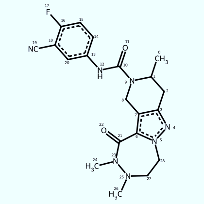 CC1Cc2nn3c(c2CN1C(=O)Nc1ccc(F)c(C#N)c1)C(=O)N(C)N(C)CC3